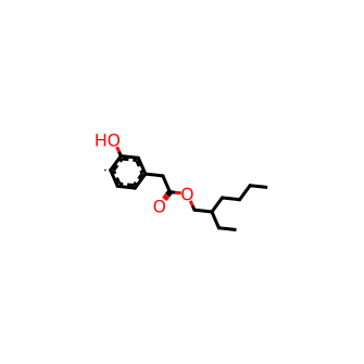 CCCCC(CC)COC(=O)Cc1cc[c]c(O)c1